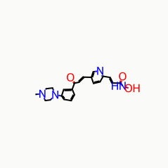 CN1CCN(c2cccc(C(=O)C=Cc3ccc(C=CC(=O)NO)nc3)c2)CC1